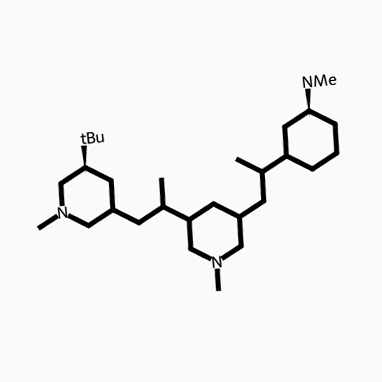 CN[C@H]1CCCC(C(C)CC2CC(C(C)CC3C[C@H](C(C)(C)C)CN(C)C3)CN(C)C2)C1